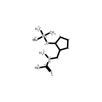 C[SH](CC1CCCC1O[Si](C)(C)C(C)(C)C)C(O)=S